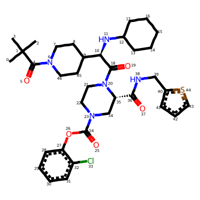 CC(C)(C)C(=O)N1CCC([C@@H](NC2CCCCC2)C(=O)N2CCN(C(=O)Oc3ccccc3Cl)C[C@H]2C(=O)NCc2cccs2)CC1